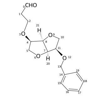 O=CCCO[C@@H]1CO[C@H]2[C@@H]1OC[C@H]2OCc1ccccc1